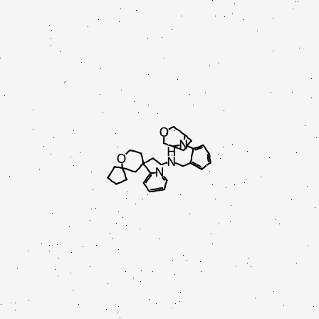 c1ccc(C2(CCNCc3ccccc3N3C4CCC3COC4)CCOC3(CCCC3)C2)nc1